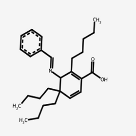 CCCCCC1=C(C(=O)O)C=CC(CCCC)(CCCC)C1N=Cc1ccccc1